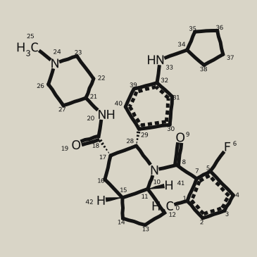 Cc1cccc(F)c1C(=O)N1[C@@H]2CCC[C@@H]2C[C@H](C(=O)NC2CCN(C)CC2)[C@@H]1c1ccc(NC2CCCC2)cc1